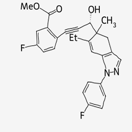 CCC1=Cc2c(cnn2-c2ccc(F)cc2)CC1(C)[C@@H](O)C#Cc1ccc(F)cc1C(=O)OC